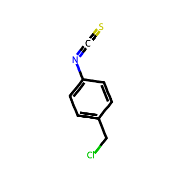 S=C=Nc1ccc(CCl)cc1